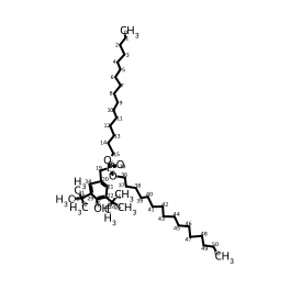 CCCCCCCCCCCCCCCCOP(=O)(Cc1cc(C(C)(C)C)c(O)c(C(C)(C)C)c1)OCCCCCCCCCCCCCCCC